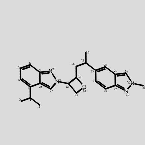 CC(C)c1cccc2nn(C3COC3CC(C)c3ccc4nn(C)cc4c3)cc12